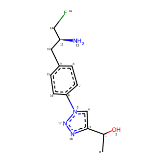 CC(O)c1cn(-c2ccc(C[C@H](N)CF)cc2)nn1